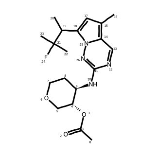 CC(=O)O[C@@H]1COCC[C@H]1Nc1ncc2c(C)cc(C(C)C(C)(C)F)n2n1